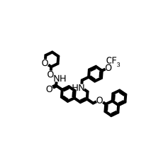 O=C(NOC1CCCCO1)c1ccc(C=C(CNCc2ccc(OC(F)(F)F)cc2)COc2cccc3ccccc23)cc1